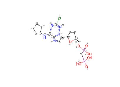 O=P(O)(O)CP(=O)(O)OC[C@@H]1CC[C@H](c2cnc3c(NC4CCCC4)nc(Cl)nn23)O1